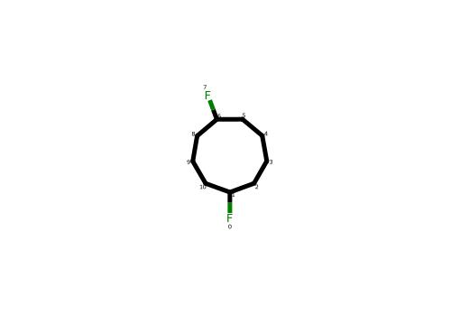 FC1CCCCC(F)CCC1